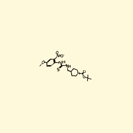 COc1ccc(NC(=S)NCC2CCN(C(=O)OC(C)(C)C)CC2)c([N+](=O)[O-])c1